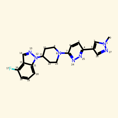 Cn1cc(-c2ccc(N3CCC(n4ncc5c(F)cccc54)CC3)nn2)cn1